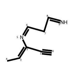 C#CC(=C/C)/N=C\CC=N